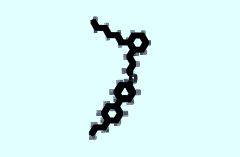 CCCCCCC1CCCCC1CCCOc1ccc(C2CCC(CCC)CC2)cc1